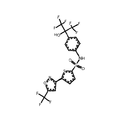 O=S(=O)(Nc1ccc(C(O)(C(F)(F)F)C(F)(F)F)cc1)c1ccc(-c2cc(C(F)(F)F)on2)s1